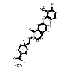 CC(C)(C)OC(=O)N1CCC(F)(CCn2cnc3ccc(Oc4c(F)ccc(F)c4C#N)cc3c2=O)CC1